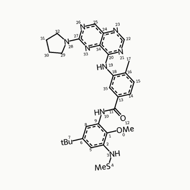 COc1c(NSC)cc(C(C)(C)C)cc1NC(=O)c1ccc(C)c(Nc2ncnc3cnc(N4CCCC4)nc23)c1